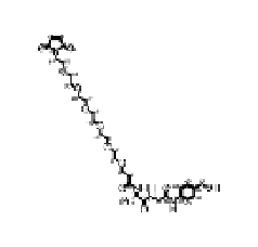 CC(C)[C@H](NC(=O)CCOCCOCCOCCOCCOCCOCCN1C(=O)C=CC1=O)C(=O)NCC(=O)Nc1ccc(CO)cc1